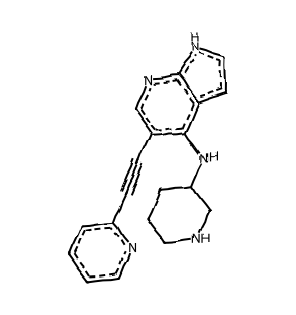 C(#Cc1cnc2[nH]ccc2c1NC1CCCNC1)c1ccccn1